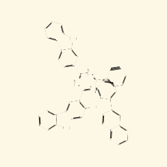 c1cccc(-c2nc(-c3ccc4c(c3)oc3ccccc34)nc(-c3cc4c(cc3[C@H]3c5ccccc5-c5cc6ccccc6cc53)oc3ccccc34)n2)c#1